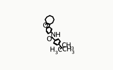 CC(C)(C)c1ccc(C(=O)Nc2ccc3oc4c(c3c2)CCCCCC4)cc1